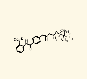 CC(C)(C)[Si](C)(C)OCCNCc1ccc(C(=O)Nc2ccccc2[N+](=O)[O-])cc1